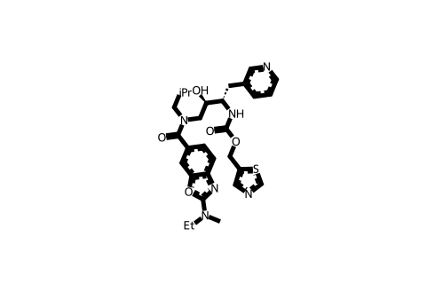 CCN(C)c1nc2ccc(C(=O)N(CC(C)C)C[C@@H](O)[C@H](Cc3cccnc3)NC(=O)OCc3cncs3)cc2o1